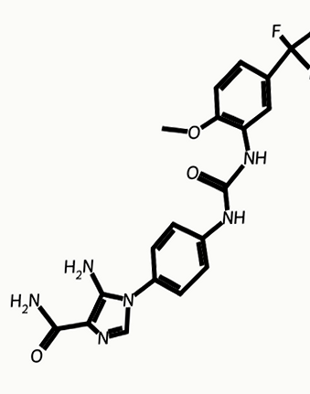 COc1ccc(C(F)(F)F)cc1NC(=O)Nc1ccc(-n2cnc(C(N)=O)c2N)cc1